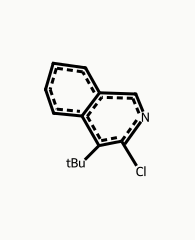 CC(C)(C)c1c(Cl)ncc2ccccc12